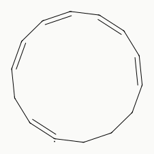 [C]1=CCC=CC=CC=CC=CCCC1